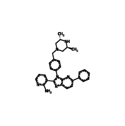 C[C@H]1CN(Cc2ccc(-n3c(-c4cccnc4N)nc4ccc(-c5ccccc5)nc43)cc2)C[C@H](C)N1